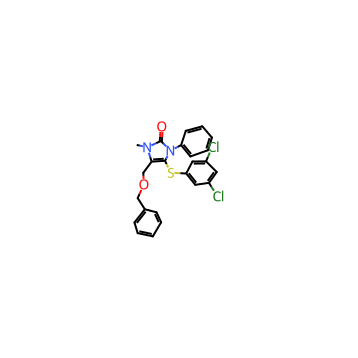 Cn1c(COCc2ccccc2)c(Sc2cc(Cl)cc(Cl)c2)n(-c2ccccc2)c1=O